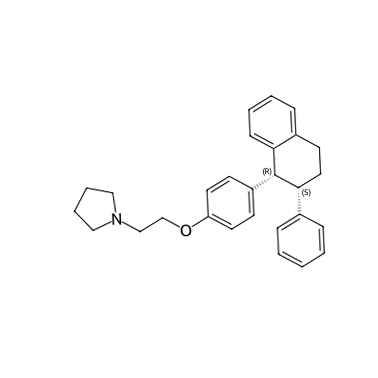 c1ccc([C@H]2CCc3ccccc3[C@H]2c2ccc(OCCN3CCCC3)cc2)cc1